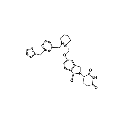 O=C1CCC(N2Cc3cc(OC[C@H]4CCCCN4Cc4cccc(Cn5cccn5)c4)ccc3C2=O)C(=O)N1